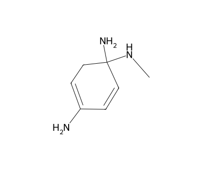 CNC1(N)C=CC(N)=CC1